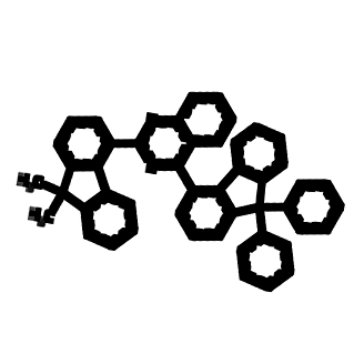 CC1(C)c2ccccc2-c2c(-c3nc(-c4cccc5c4-c4ccccc4C5(c4ccccc4)c4ccccc4)c4ccccc4n3)cccc21